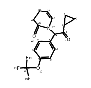 O=C(C1CC1)C(c1ccc(OC(F)(F)F)cc1)N1C=CCCC1=O